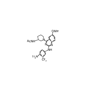 COc1ccc2nc(Nc3ccc(N)c(C(F)(F)F)c3)nc(N3CCCC(NC(C)=O)C3)c2c1